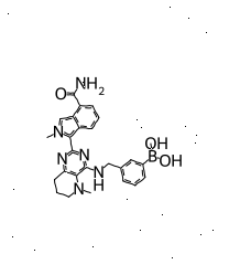 CN1CCCc2nc(-c3c4cccc(C(N)=O)c4cn3C)nc(NCc3cccc(B(O)O)c3)c21